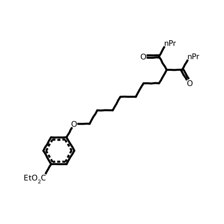 CCCC(=O)C(CCCCCCCOc1ccc(C(=O)OCC)cc1)C(=O)CCC